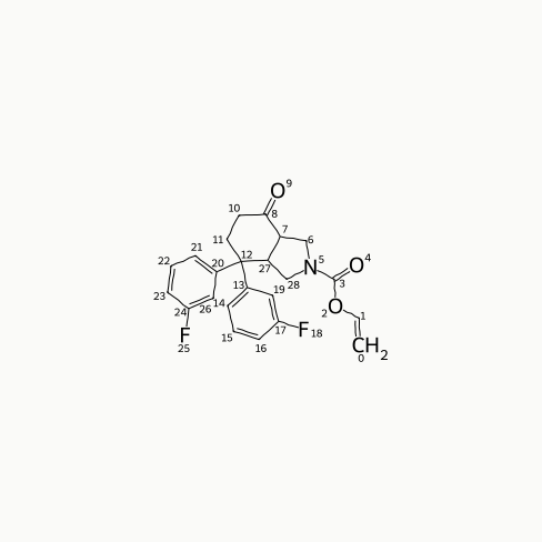 C=COC(=O)N1CC2C(=O)CCC(c3cccc(F)c3)(c3cccc(F)c3)C2C1